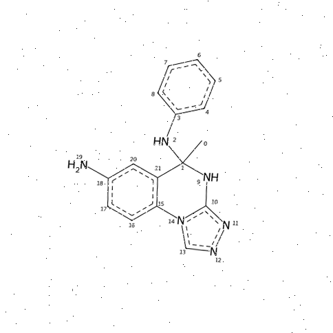 CC1(Nc2ccccc2)Nc2nncn2-c2ccc(N)cc21